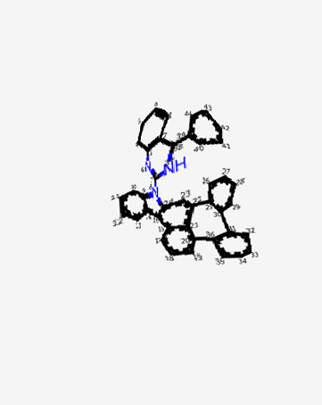 C1=CC2=C(CC1)N=C(n1c3ccccc3c3c4cccc5c4c(cc31)-c1ccccc1-c1ccccc1-5)NC2c1ccccc1